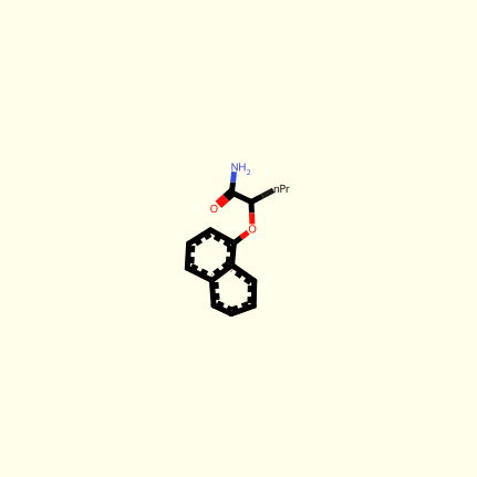 [CH2]CCC(Oc1cccc2ccccc12)C(N)=O